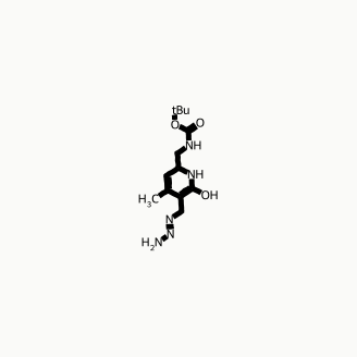 CC1=CC(CNC(=O)OC(C)(C)C)NC(O)=C1CN=NN